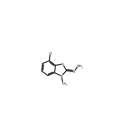 Cn1/c(=N/N)sc2c(Cl)cccc21